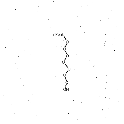 CCCCCOOOOOOOO